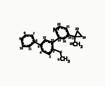 CCc1ccc(-c2ccccc2)cc1-c1cc(C2(C)CC2)ccn1